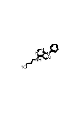 OCCCNc1ncnc2c1cnn2-c1ccccc1